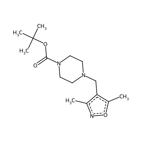 Cc1noc(C)c1CN1CCN(C(=O)OC(C)(C)C)CC1